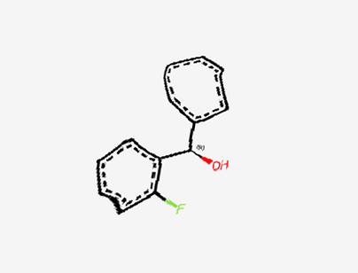 O[C@H](c1ccccc1)c1ccccc1F